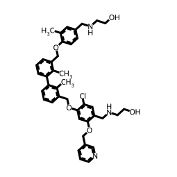 Cc1cc(CNCCO)ccc1OCc1cccc(-c2cccc(COc3cc(OCc4cccnc4)c(CNCCO)cc3Cl)c2C)c1C